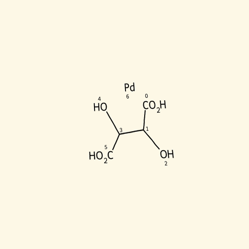 O=C(O)C(O)C(O)C(=O)O.[Pd]